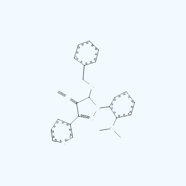 CN(C)c1ccccc1N1N=C(c2cccnc2)C(=C=O)C1NCc1ccccc1